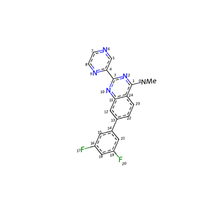 CNc1nc(-c2cnccn2)nc2cc(-c3cc(F)cc(F)c3)ccc12